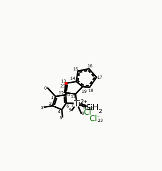 CC1=C(C)C(C)[C]([Ti+2]([CH3])([CH3])(=[SiH2])[CH]2C=Cc3ccccc32)=C1C.[Cl-].[Cl-]